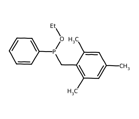 CCOP(Cc1c(C)cc(C)cc1C)c1ccccc1